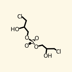 O=S(=O)(OCC(O)CCl)OCC(O)CCl